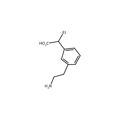 CCC(C(=O)O)c1cccc(CCN)c1